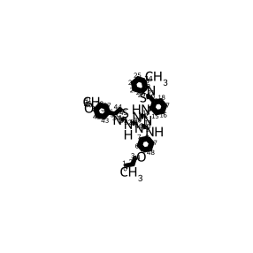 CCCCOc1ccc(Nc2nc(Nc3ccccc3-c3nc4c(C)cccc4s3)nc(NC3N=C(c4ccc(OC)cc4)CS3)n2)cc1